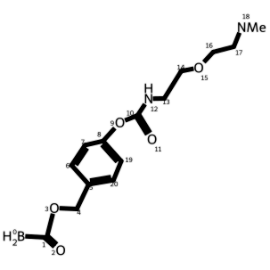 BC(=O)OCc1ccc(OC(=O)NCCOCCNC)cc1